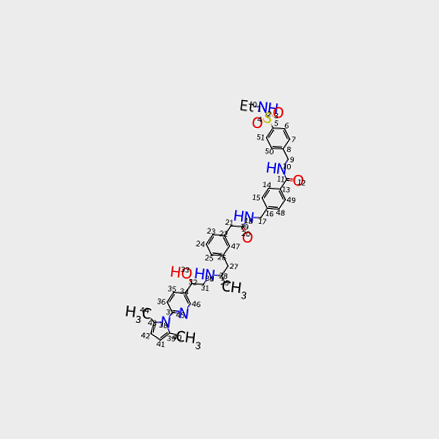 CCNS(=O)(=O)c1ccc(CNC(=O)c2ccc(CNC(=O)Cc3cccc(C[C@@H](C)NC[C@H](O)c4ccc(-n5c(C)ccc5C)nc4)c3)cc2)cc1